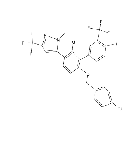 Cn1nc(C(F)(F)F)cc1-c1ccc(OCc2ccc(Cl)cc2)c(-c2ccc(Cl)c(C(F)(F)F)c2)c1Cl